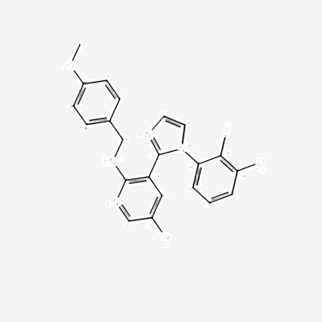 COc1ccc(CNc2ncc(Br)cc2-c2nccn2-c2cccc(Cl)c2Cl)cc1